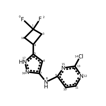 FC1(F)CC(c2cc(Nc3ccnc(Cl)n3)n[nH]2)C1